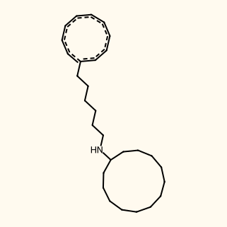 c1ccccc(CCCCCCNC2CCCCCCCCCCCC2)cccc1